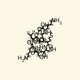 CSCCC(N)C(=O)NC(CS)C(=O)NC(CO)C(=O)NC(CCCCN)C(=O)NC(CC(C)C)C(=O)N1CCCC1C(=O)NC(CCCCN)C(=O)O